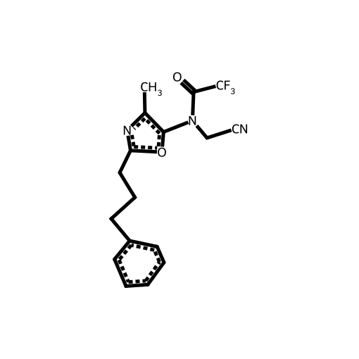 Cc1nc(CCCc2ccccc2)oc1N(CC#N)C(=O)C(F)(F)F